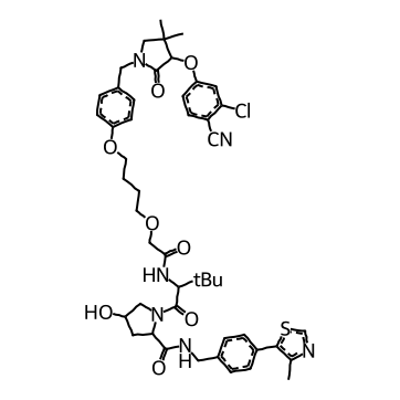 Cc1ncsc1-c1ccc(CNC(=O)C2CC(O)CN2C(=O)C(NC(=O)COCCCCOc2ccc(CN3CC(C)(C)C(Oc4ccc(C#N)c(Cl)c4)C3=O)cc2)C(C)(C)C)cc1